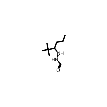 CCCC(NNC=O)C(C)(C)C